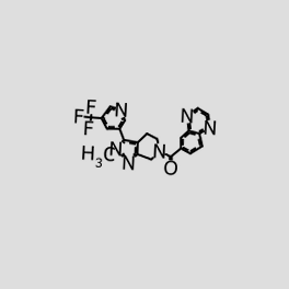 Cn1nc2c(c1-c1cncc(C(F)(F)F)c1)CCN(C(=O)c1ccc3nccnc3c1)C2